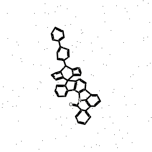 O=c1c2ccccc2c2cccc3c4ccc5c(c4n1c23)-c1ccccc1C51c2ccccc2C(c2ccc(-c3ccccc3)cc2)c2ccccc21